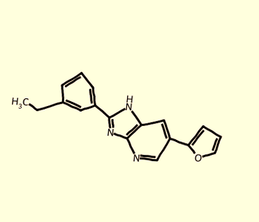 CCc1cccc(-c2nc3ncc(-c4ccco4)cc3[nH]2)c1